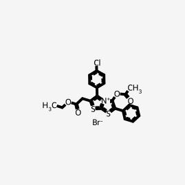 CCOC(=O)Cc1sc2sc(-c3ccccc3)c(OC(C)=O)[n+]2c1-c1ccc(Cl)cc1.[Br-]